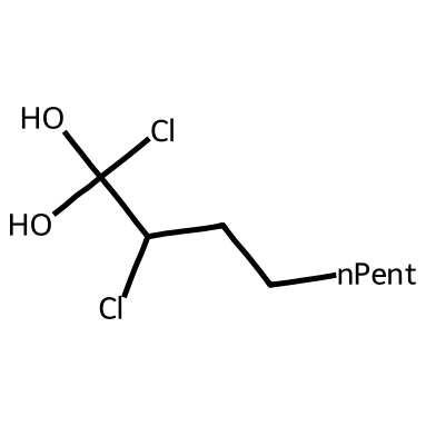 CCCCCCCC(Cl)C(O)(O)Cl